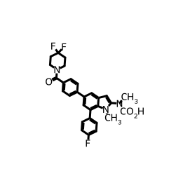 CN(C(=O)O)c1cc2cc(-c3ccc(C(=O)N4CCC(F)(F)CC4)cc3)cc(-c3ccc(F)cc3)c2n1C